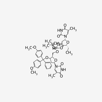 CC[C@H]1O[C@@H](n2cc(C)c(=O)[nH]c2=O)CC1O[PH](C)(OC[C@H]1O[C@@H](n2cc(C)c(=O)[nH]c2=O)CC1OC(c1ccccc1)(c1ccc(OC)cc1)c1ccc(OC)cc1)O[Si](C)(C)C